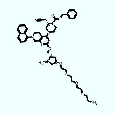 CN1C[C@H](OCCOCCOCCOCCN)C[C@H]1COc1nc2c(c(N3CCN(C(=O)OCc4ccccc4)[C@@H](CC#N)C3)n1)CCN(c1cccc3ccccc13)C2